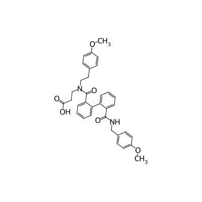 COc1ccc(CCN(CCC(=O)O)C(=O)c2ccccc2-c2ccccc2C(=O)NCc2ccc(OC)cc2)cc1